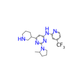 CC1CCCN1c1nc(Nc2cc(C(F)(F)F)ccn2)cc(C2CCCNC2)n1